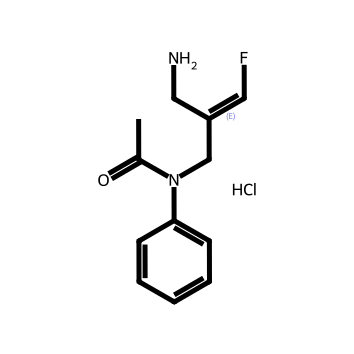 CC(=O)N(C/C(=C/F)CN)c1ccccc1.Cl